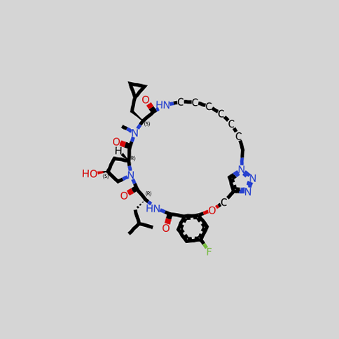 CC(C)C[C@H]1NC(=O)c2ccc(F)cc2OCc2cn(nn2)CCCCCCCNC(=O)[C@H](CC2CC2)N(C)C(=O)[C@H]2C[C@H](O)CN2C1=O